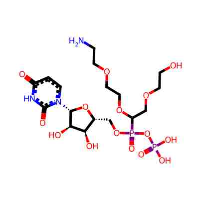 NCCOCCOC(COCCO)P(=O)(OC[C@H]1O[C@@H](n2ccc(=O)[nH]c2=O)[C@H](O)[C@@H]1O)OP(=O)(O)O